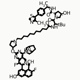 C#Cc1c(F)ccc2cc(O)cc(-c3ncc4c(N5CC6CCC(C5)N6)nc(OC5CCN(CCCCCCCCCCC(=O)NC(C(=O)N6C[C@H](O)C[C@H]6C(=O)N[C@@H](C)c6ccc(-c7scnc7C)cc6)C(C)(C)C)C5)nc4c3F)c12